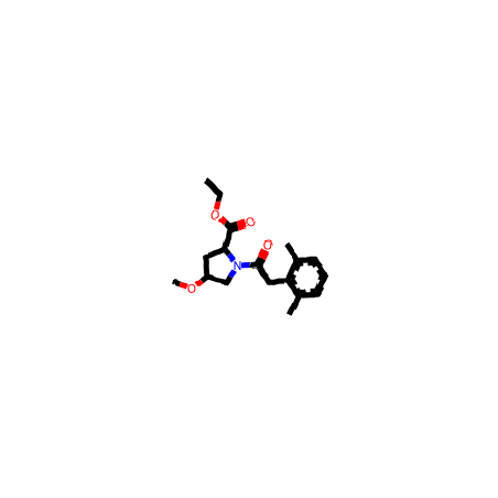 CCOC(=O)C1CC(OC)CN1C(=O)Cc1c(C)cccc1C